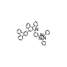 c1ccc(-c2nc(-c3ccccc3)nc(-c3cccc(-c4nc5ccccc5c5c4cc(-c4ccc6c7ccccc7c7ccccc7c6c4)c4ccccc45)c3)n2)cc1